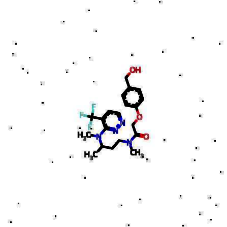 CC(CCN(C)C(=O)COc1ccc(CO)cc1)N(C)c1nnccc1C(F)(F)F